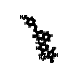 Cc1ccc(/C=C/C(=O)N[C@@H](CC(=O)N[C@H](C(=O)[C@@H]2C(=O)NC(=O)[C@H]2C)C(C)C)c2ccccc2)cc1